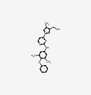 Cc1cn(-c2ccnc(Nc3cc(C)c(Oc4ccccc4)c(C)c3)n2)cc1CO